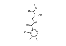 COC(=O)C(O)CNC(=O)c1ccc(C)c(C)c1Cl